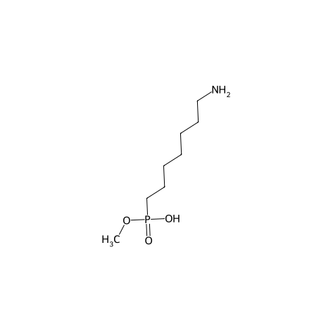 COP(=O)(O)CCCCCCCN